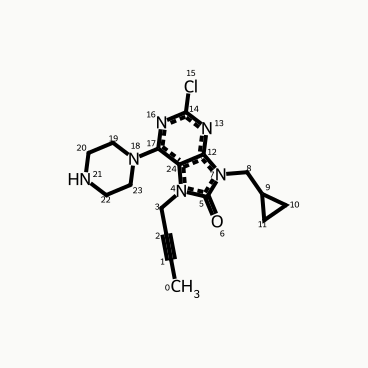 CC#CCn1c(=O)n(CC2CC2)c2nc(Cl)nc(N3CCNCC3)c21